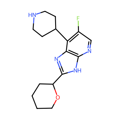 Fc1cnc2[nH]c(C3CCCCO3)nc2c1C1CCNCC1